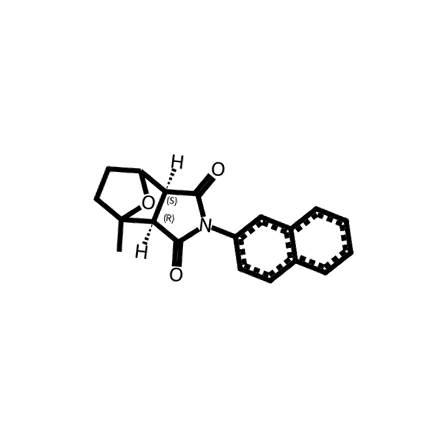 CC12CCC(O1)[C@H]1C(=O)N(c3ccc4ccccc4c3)C(=O)[C@H]12